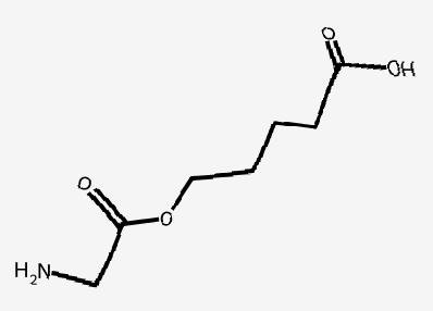 NCC(=O)OCCCCC(=O)O